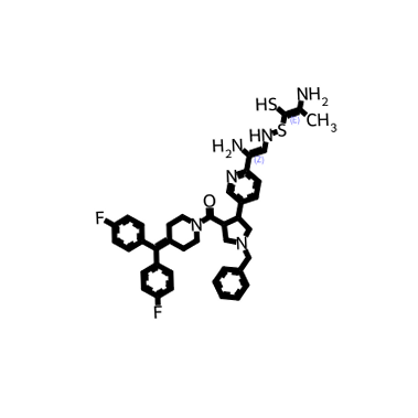 C/C(N)=C(/S)SN/C=C(\N)c1ccc(C2CN(Cc3ccccc3)CC2C(=O)N2CCC(=C(c3ccc(F)cc3)c3ccc(F)cc3)CC2)cn1